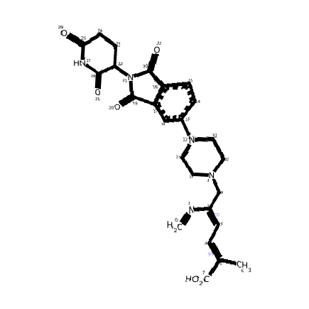 C=N/C(=C\C=C(/C)C(=O)O)CN1CCN(c2ccc3c(c2)C(=O)N(C2CCC(=O)NC2=O)C3=O)CC1